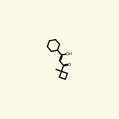 CC1(C(=O)/C=C(\O)C2CCCCC2)CCC1